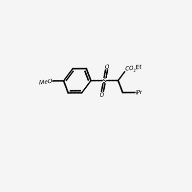 CCOC(=O)C(CC(C)C)S(=O)(=O)c1ccc(OC)cc1